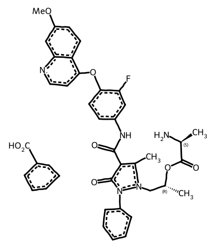 COc1ccc2c(Oc3ccc(NC(=O)c4c(C)n(C[C@@H](C)OC(=O)[C@H](C)N)n(-c5ccccc5)c4=O)cc3F)ccnc2c1.O=C(O)c1ccccc1